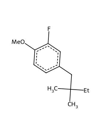 CCC(C)(C)Cc1ccc(OC)c(F)c1